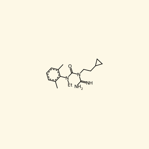 CCN(C(=O)N(CCC1CC1)C(=N)N)c1c(C)cccc1C